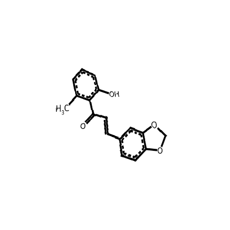 Cc1cccc(O)c1C(=O)C=Cc1ccc2c(c1)OCO2